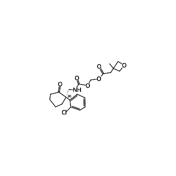 CC1(CC(=O)OCOC(=O)NC[C@]2(c3ccccc3Cl)CCCCC2=O)COC1